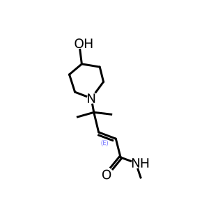 CNC(=O)/C=C/C(C)(C)N1CCC(O)CC1